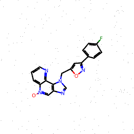 [O-][n+]1cc2ncn(Cc3cc(-c4ccc(F)cc4)no3)c2c2ncccc21